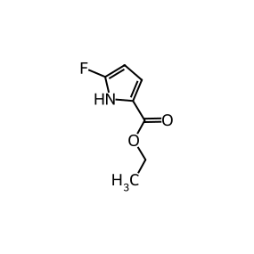 CCOC(=O)c1ccc(F)[nH]1